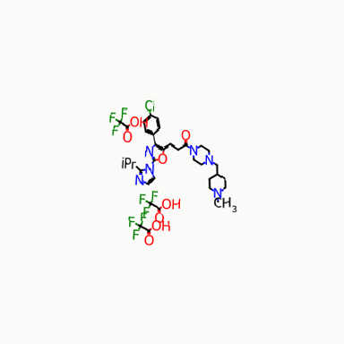 CC(C)c1nccn1-c1nc(-c2ccc(Cl)cc2)c(CCC(=O)N2CCN(CC3CCN(C)CC3)CC2)o1.O=C(O)C(F)(F)F.O=C(O)C(F)(F)F.O=C(O)C(F)(F)F